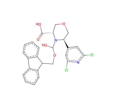 O=C(O)[C@@H]1COC[C@@H](c2cc(Cl)nc(Cl)c2)N1C(O)OCC1c2ccccc2-c2ccccc21